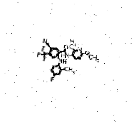 COc1ccc(NC(=O)c2cc(C#N)c(C(F)(F)F)cc2Nc2ccc(F)cc2C)c(C)n1